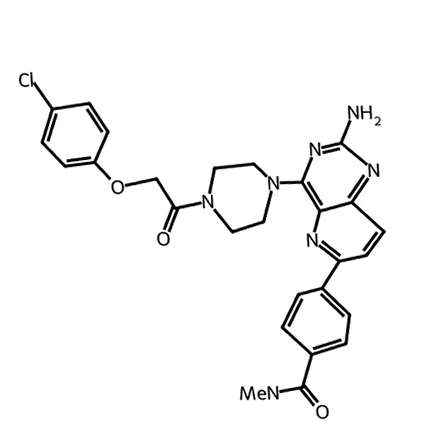 CNC(=O)c1ccc(-c2ccc3nc(N)nc(N4CCN(C(=O)COc5ccc(Cl)cc5)CC4)c3n2)cc1